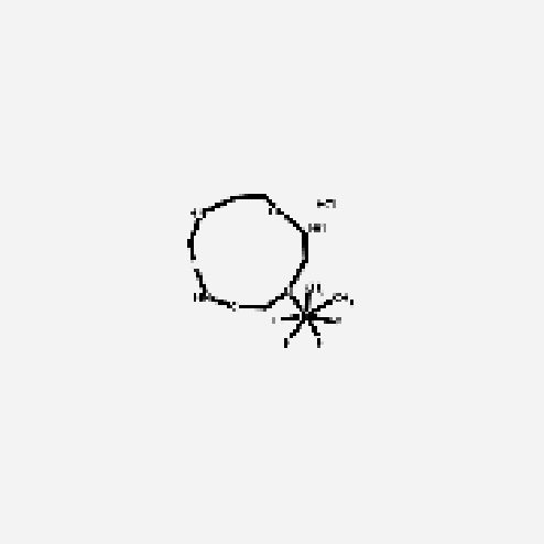 Cl.Cl.[CH3][Ti]([CH3])([F])([F])([F])([F])[N]1CCNCCNCCNCC1